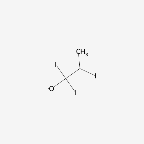 CC(I)C([O])(I)I